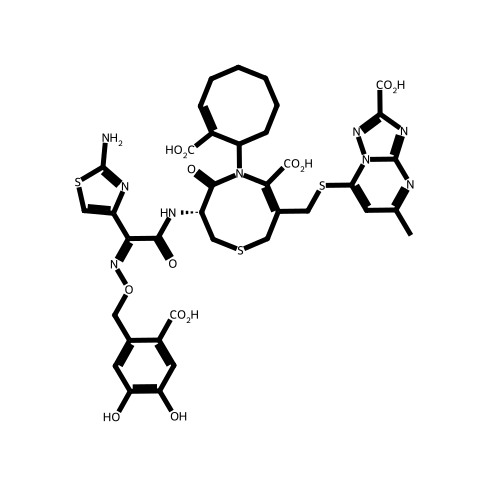 Cc1cc(SC/C2=C(\C(=O)O)N(C3CCCCC/C=C\3C(=O)O)C(=O)[C@@H](NC(=O)/C(=N\OCc3cc(O)c(O)cc3C(=O)O)c3csc(N)n3)CSC2)n2nc(C(=O)O)nc2n1